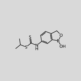 CC(C)SC(=S)Nc1ccc2c(c1)B(O)OC2